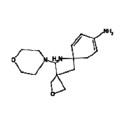 NC1=CCC(N)(CC2(CN3CCOCC3)COC2)C=C1